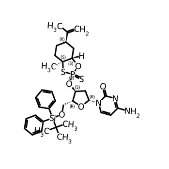 C=C(C)[C@@H]1CC[C@]2(C)S[P@](=S)(O[C@H]3C[C@H](n4ccc(N)nc4=O)O[C@@H]3CO[Si](c3ccccc3)(c3ccccc3)C(C)(C)C)O[C@H]2C1